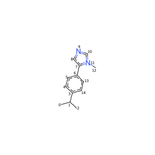 CC(C)c1ccc(-c2cncn2C)cc1